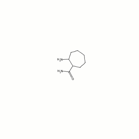 NC(=O)C1CCCCCC1N